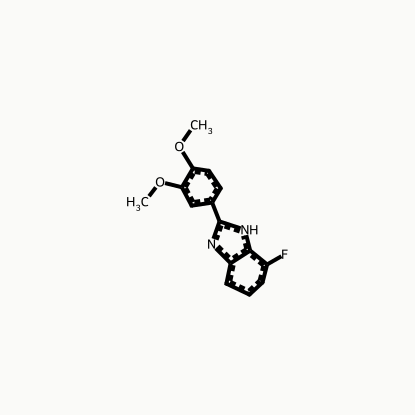 COc1ccc(-c2nc3cccc(F)c3[nH]2)cc1OC